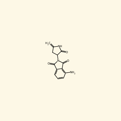 C=C1CC(N2C(=O)c3cccc(N)c3C2=O)C(=O)N1